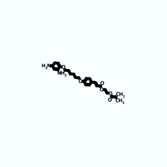 C=C(C)C(=O)OCCOC(=O)/C=C/C1C=CC(OCCCCCCOC2=CCC(N)C=C2N)=CC1